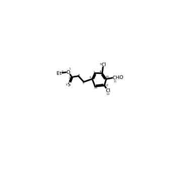 CCOC(=S)CCc1cc(Cl)c(C=O)c(Cl)c1